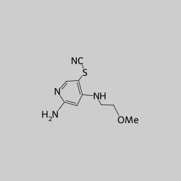 COCCNc1cc(N)ncc1SC#N